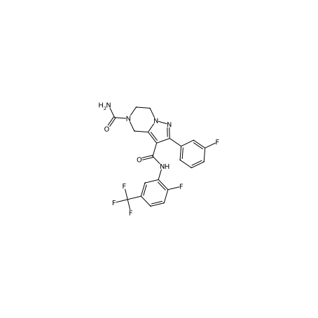 NC(=O)N1CCn2nc(-c3cccc(F)c3)c(C(=O)Nc3cc(C(F)(F)F)ccc3F)c2C1